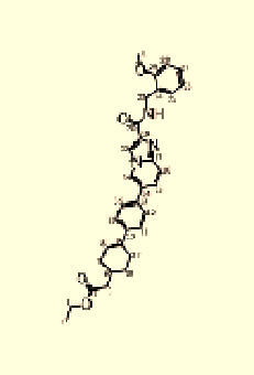 CCOC(=O)CC1CCC(c2ccc(-c3ccc4nc(C(=O)NCc5ccccc5OC)cn4c3)cc2)CC1